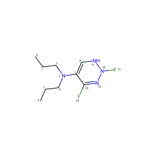 CCCN(CCC)C1=CNN(F)N=C1F